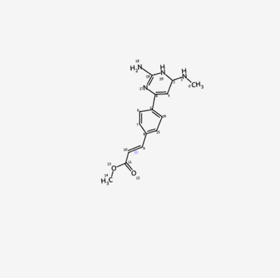 CNC1C=C(c2ccc(/C=C/C(=O)OC)cc2)N=C(N)N1